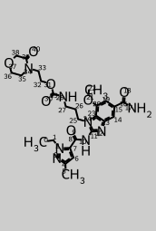 CCn1nc(C)cc1C(=O)Nc1nc2cc(C(N)=O)cc(OC)c2n1CCCNC(=O)OCCN1CCOCC1=O